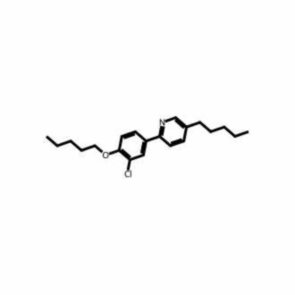 CCCCCOc1ccc(-c2ccc(CCCCC)cn2)cc1Cl